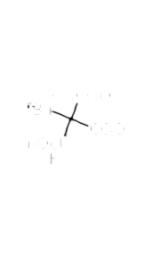 CCCCCCCCC(C(=O)[O-])(C(=O)[O-])C(C)(C)C.[K+].[K+]